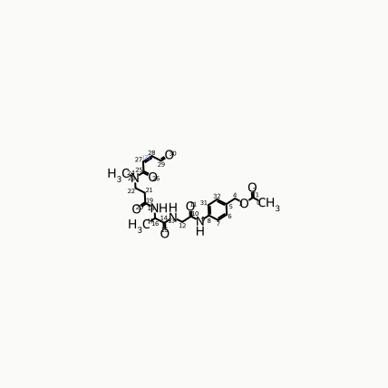 CC(=O)OCc1ccc(NC(=O)CNC(=O)C(C)NC(=O)CCN(C)C(=O)/C=C\C=O)cc1